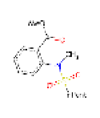 CCCCCS(=O)(=O)N(C)c1ccccc1C(=O)OC